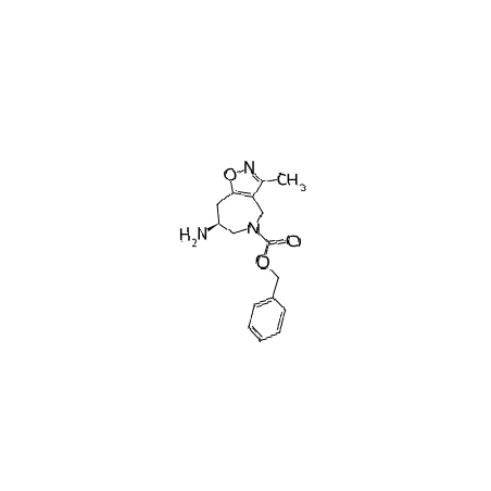 Cc1noc2c1CN(C(=O)OCc1ccccc1)C[C@@H](N)C2